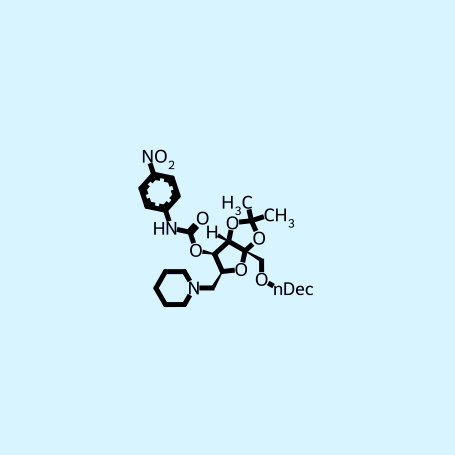 CCCCCCCCCCOC[C@@]12O[C@@H](CN3CCCCC3)[C@@H](OC(=O)Nc3ccc([N+](=O)[O-])cc3)[C@@H]1OC(C)(C)O2